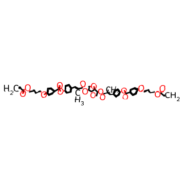 C=CC(=O)OCCCCOc1ccc(C(=O)Oc2ccc(/C=C(\C)C(=O)O[C@H]3COC4C3OC[C@H]4OC(=O)/C(C)=C/c3ccc(OC(=O)c4ccc(OCCCCOC(=O)C=C)cc4)cc3)cc2)cc1